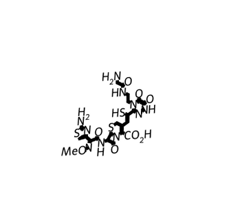 CON=C(C(=O)NC1C(=O)N2C(C(=O)O)=C(C=C(S)c3n[nH]c(=O)c(=O)n3CCNC(=O)CN)CSC12)c1csc(N)n1